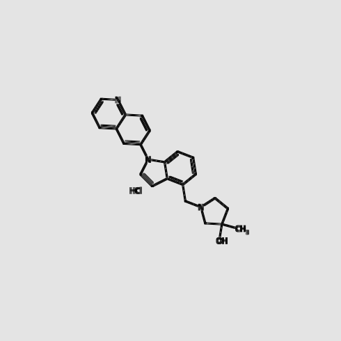 CC1(O)CCN(Cc2cccc3c2ccn3-c2ccc3ncccc3c2)C1.Cl